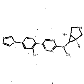 CN(c1ncc(-c2ccc(-n3ccnc3)cc2O)nn1)C1[C@H]2CNC[C@@H]12